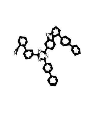 N#Cc1ccccc1-c1cccc(-c2nc(-c3ccc(-c4cc#ccc4)cc3)nc(-c3ccc4c(c3)oc3cccc(-c5ccc(-c6ccccc6)cc5)c34)n2)c1